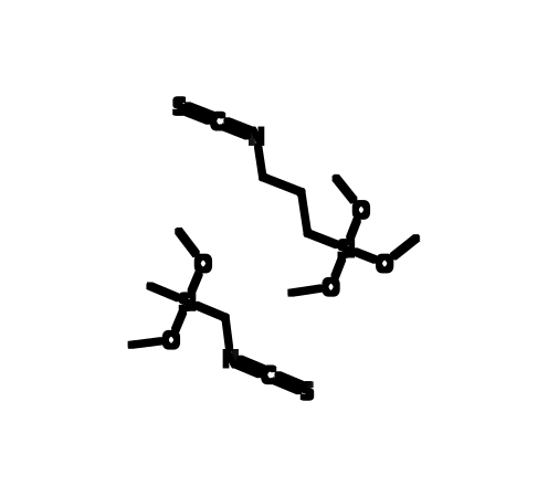 CO[Si](C)(CN=C=S)OC.CO[Si](CCCN=C=S)(OC)OC